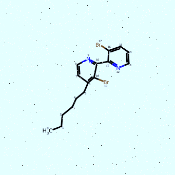 CCCCCCc1ccnc(-c2ncccc2Br)c1Br